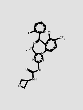 C[C@@H]1N=C(c2ncccc2F)c2c(ccc(C(F)(F)F)c2Cl)-n2nc(NC(=O)NC3COC3)nc21